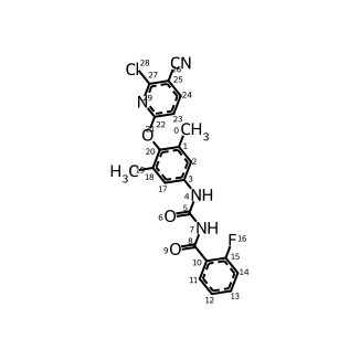 Cc1cc(NC(=O)NC(=O)c2ccccc2F)cc(C)c1Oc1ccc(C#N)c(Cl)n1